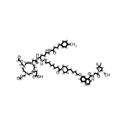 C#C[C@H]1CC(F)(F)CN1C(=O)CNC(=O)c1ccnc2ccc(OCCCCC3CCN(C(=O)CCCCC/C=N/NC(CCCCNC(=O)CCCc4ccc(C)cc4)NC(=O)CN4CCN(COC=O)CCN(COC=O)CCN(CC(=O)O)CC4)CC3)cc12